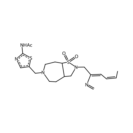 C=N/C(=C\C=C/C)CN1CC2CCN(Cc3cnc(NC(C)=O)s3)CCC2S1(=O)=O